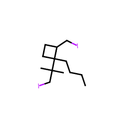 CCCCC1(C(C)(C)CI)CCC1CI